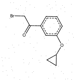 O=C(CBr)c1cccc(OC2CC2)c1